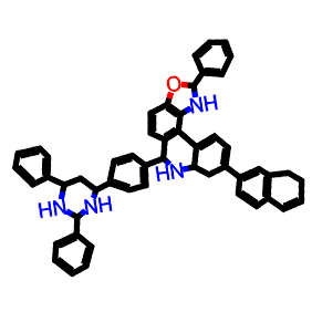 C1=Cc2ccc(C3=CC=C4c5c(ccc6c5NC(c5ccccc5)O6)C(c5ccc(C6CC(c7ccccc7)NC(c7ccccc7)N6)cc5)NC4C3)cc2CC1